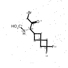 O=C(O)N[C@H](C(=O)CBr)C1CC2(C1)CC(F)(F)C2